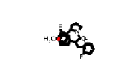 Cc1ccc(C(Cc2c(F)cccc2F)C(=O)N2CCCC2c2ccccc2F)cc1